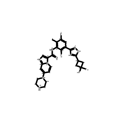 Cc1c(F)cc(-c2noc(C3CC(F)(F)C3)n2)c(F)c1NC(=O)c1cnc2cc(N3CCNCC3)ccn12